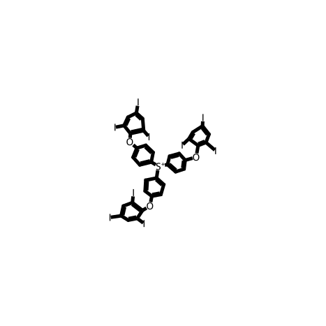 Ic1cc(I)c(Oc2ccc([S+](c3ccc(Oc4c(I)cc(I)cc4I)cc3)c3ccc(Oc4c(I)cc(I)cc4I)cc3)cc2)c(I)c1